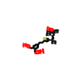 CC/C(=C/CCC(O)(CC)CC)c1csc(CCc2ccc(CO)c(CO)c2)c1